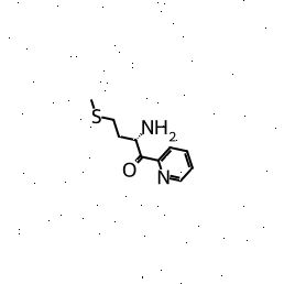 CSCC[C@H](N)C(=O)c1ccccn1